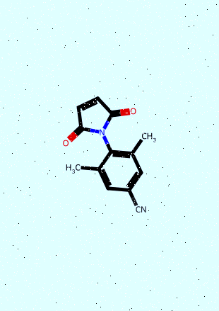 Cc1cc(C#N)cc(C)c1N1C(=O)C=CC1=O